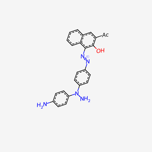 CC(=O)c1cc2ccccc2c(/N=N/c2ccc(N(N)c3ccc(N)cc3)cc2)c1O